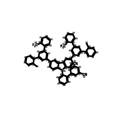 Cc1ccccc1-c1cc(-c2ccc3c(c2)c2cc(-c4cc(-c5ccccc5C)cc(-c5ccccc5C(F)(F)F)c4)ccc2n3-c2ccccc2-c2cc(C#N)cc(C#N)c2)cc(-c2ccccc2C(F)(F)F)c1